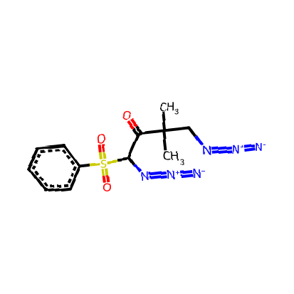 CC(C)(CN=[N+]=[N-])C(=O)C(N=[N+]=[N-])S(=O)(=O)c1ccccc1